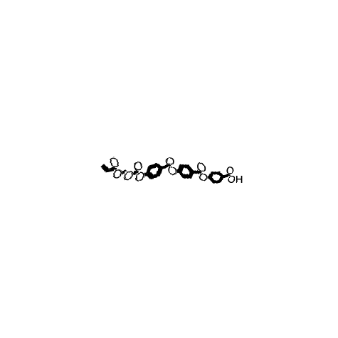 C=CC(=O)OCOC(=O)Oc1ccc(C(=O)Oc2ccc(C(=O)OC3CCC(C(=O)O)CC3)cc2)cc1